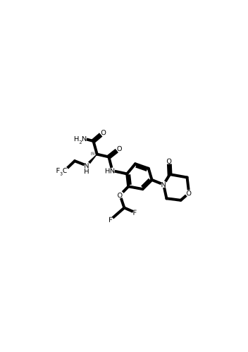 NC(=O)[C@H](NCC(F)(F)F)C(=O)Nc1ccc(N2CCOCC2=O)cc1OC(F)F